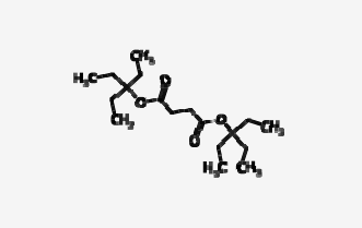 CCC(CC)(CC)OC(=O)CCC(=O)OC(CC)(CC)CC